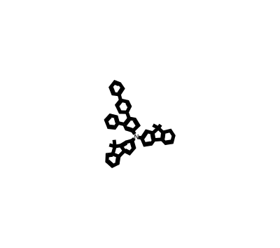 CC1(C)C2=C(C=CCC2)c2ccc(N(c3ccc(C4C=CC(c5ccccc5)=CC4)c(-c4ccccc4)c3)c3ccc4c(c3)C(C)(C)c3ccccc3-4)cc21